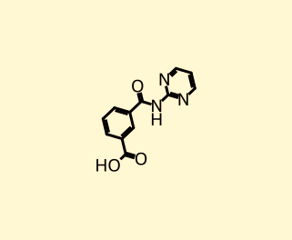 O=C(O)c1cccc(C(=O)Nc2ncccn2)c1